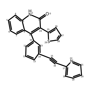 O=c1[nH]c2ccccc2c(-c2cccc(C#Cc3ccccn3)c2)c1-c1cccs1